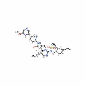 CCOc1cncc(-c2ccc(NC(=O)C(C)(CCOC)c3ccnc(N(Cc4ccc(OC)cc4)S(C)(=O)=O)n3)nc2)n1